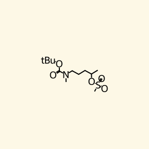 CC(CCCN(C)C(=O)OC(C)(C)C)OS(C)(=O)=O